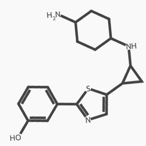 NC1CCC(NC2CC2c2cnc(-c3cccc(O)c3)s2)CC1